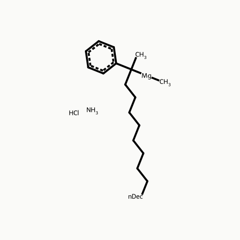 CCCCCCCCCCCCCCCCCC[C](C)([Mg][CH3])c1ccccc1.Cl.N